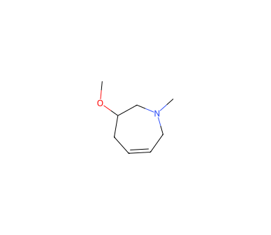 COC1CC=CCN(C)C1